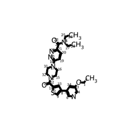 CCOc1cncc(-c2csc(C(=O)N3CCN(c4ccc(C(=O)N(CC)CC)nn4)CC3)c2)c1